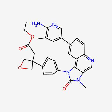 CCOC(=O)CC1(c2ccc(-n3c(=O)n(C)c4cnc5ccc(-c6cnc(N)c(C)c6)cc5c43)cc2)COC1